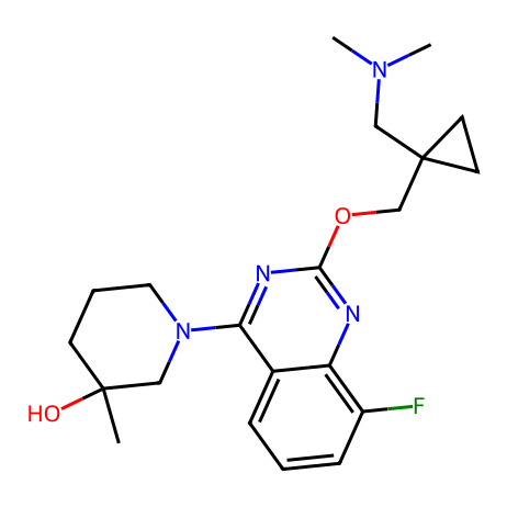 CN(C)CC1(COc2nc(N3CCCC(C)(O)C3)c3cccc(F)c3n2)CC1